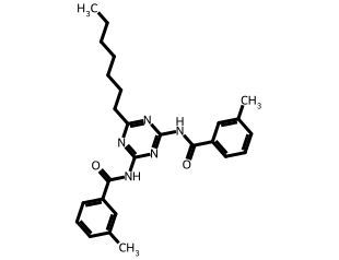 CCCCCCCc1nc(NC(=O)c2cccc(C)c2)nc(NC(=O)c2cccc(C)c2)n1